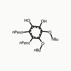 CCCCCc1c(O)c(O)c(OCCCC)c(OCCCC)c1CCCCC